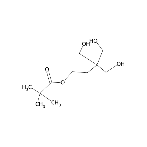 CC(C)(C)C(=O)OCCC(CO)(CO)CO